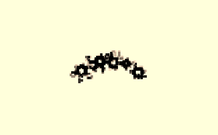 CC1(C)CN(C2CC(OC3CCNCC3)C2)CCC1c1ccc2c(c1F)CN(C1CCC(=O)NC1=O)C2=O